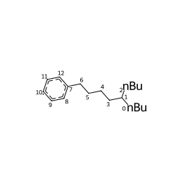 CCCCC(CCCC)CCCCc1cc[c]cc1